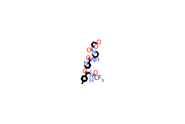 Cc1ccc([C@@H](Oc2ccc(C(=O)N[C@@H]3CCCN(C(=O)[C@@H]4CCC(=O)O4)C3)nc2)[C@H](C)NC(=O)C(F)(F)F)cc1